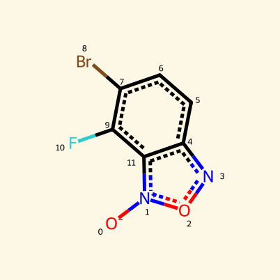 [O-][n+]1onc2ccc(Br)c(F)c21